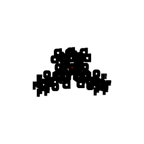 O=C1c2c(F)c(F)c(F)c(F)c2C(=O)C1c1ccc2c(N3C(=O)c4c(Cl)c(Cl)c(Cl)c(Cl)c4C3=O)c(Cc3cc(Cl)c4nc(C5C(=O)c6c(F)c(F)c(F)c(F)c6C5=O)ccc4c3N3C(=O)c4c(Cl)c(Cl)c(Cl)c(Cl)c4C3=O)cc(Cl)c2n1